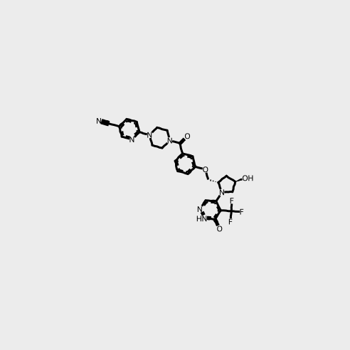 N#Cc1ccc(N2CCN(C(=O)c3cccc(OC[C@@H]4C[C@@H](O)CN4c4cn[nH]c(=O)c4C(F)(F)F)c3)CC2)nc1